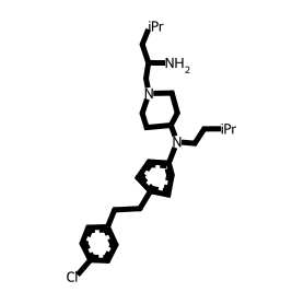 CC(C)CCN(c1ccc(CCc2ccc(Cl)cc2)cc1)C1CCN(CC(N)CC(C)C)CC1